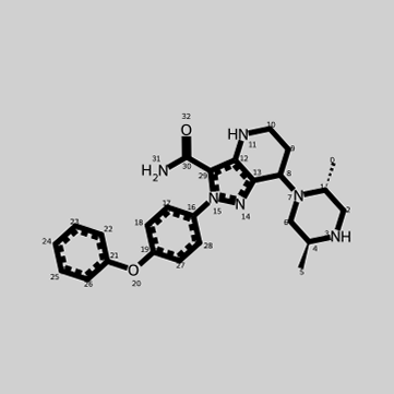 C[C@@H]1CN[C@@H](C)CN1C1CCNc2c1nn(-c1ccc(Oc3ccccc3)cc1)c2C(N)=O